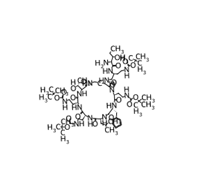 CC[C@@H](O)[C@H](N)C(=O)N[C@@H](CCNC(=O)OC(C)(C)C)C(=O)N[C@H]1CCNC(=O)[C@H]([C@@H](C)O)NC(=O)[C@H](CCNC(=O)OC(C)(C)C)NC(=O)[C@H](CCNC(=O)OC(C)(C)C)NC(=O)[C@H](CC(C)C)NC(=O)[C@@H](Cc2ccccc2)NC(=O)[C@H](CCNC(=O)OC(C)(C)C)NC1=O